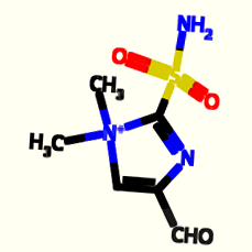 C[N+]1(C)C=C(C=O)N=C1S(N)(=O)=O